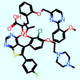 COc1ccccc1-c1nccc(COc2ccccc2CC(Oc2ncnc3sc(-c4ccc(F)cc4)c(-c4ccc(OCCN5CCN(C)CC5)c(Cl)c4OC(C)C)c23)C(=O)O)n1